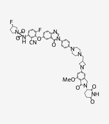 COc1cc(N2CC(CN3CCN(c4ccc(-n5cnc6ccc(Oc7c(F)ccc(NS(=O)(=O)N8CC[C@@H](F)C8)c7C#N)cc6c5=O)cc4)CC3)C2)cc2c1C(=O)N([C@H]1CCC(=O)NC1=O)C2